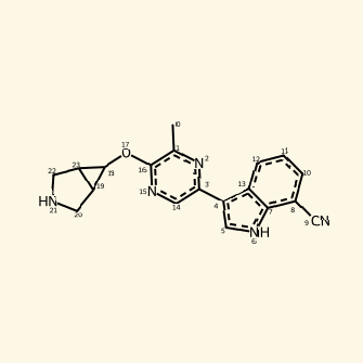 Cc1nc(-c2c[nH]c3c(C#N)cccc23)cnc1OC1C2CNCC21